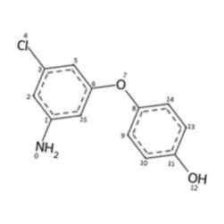 Nc1cc(Cl)cc(Oc2ccc(O)cc2)c1